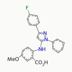 COc1ccc(Nc2cc(-c3ccc(F)cc3)nn2-c2ccccc2)c(C(=O)O)c1